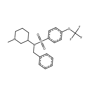 CN1CCCC(N(Cc2ccccc2)S(=O)(=O)c2ccc(OC(F)(F)F)cc2)C1